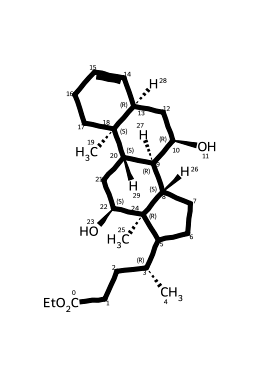 CCOC(=O)CC[C@@H](C)C1CC[C@H]2[C@@H]3[C@H](O)C[C@@H]4C=CCC[C@]4(C)[C@H]3C[C@H](O)[C@]12C